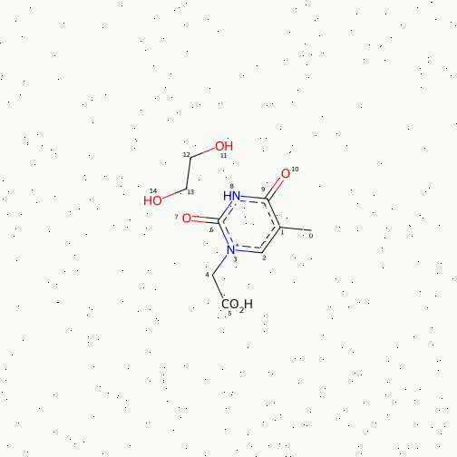 Cc1cn(CC(=O)O)c(=O)[nH]c1=O.OCCO